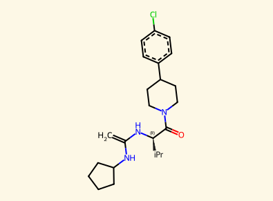 C=C(NC1CCCC1)N[C@@H](C(=O)N1CCC(c2ccc(Cl)cc2)CC1)C(C)C